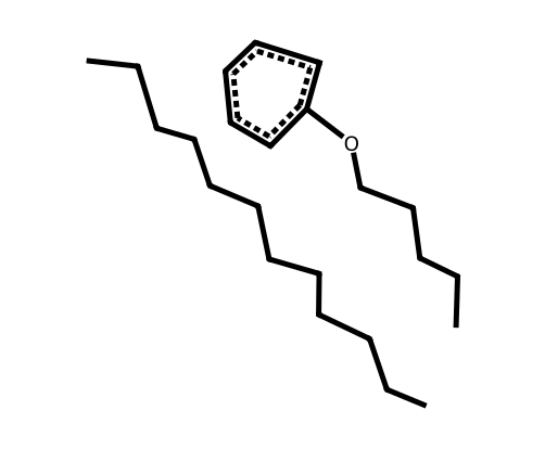 CCCCCCCCCCCC.CCCCCOc1ccccc1